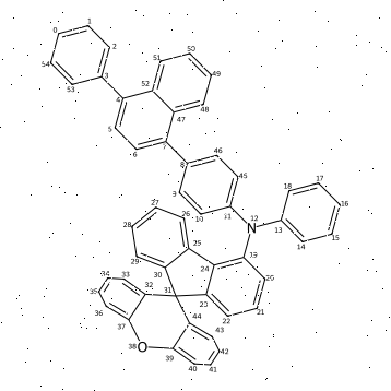 c1ccc(-c2ccc(-c3ccc(N(c4ccccc4)c4cccc5c4-c4ccccc4C54c5ccccc5Oc5ccccc54)cc3)c3ccccc23)cc1